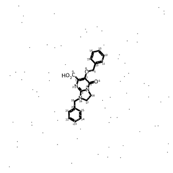 O=C(O)c1nc2n(c(=O)c1OCc1ccccc1)CCN2Cc1ccccc1